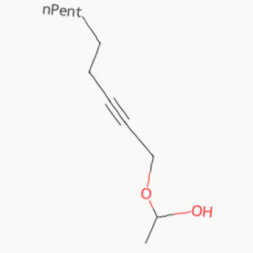 CCCCCCCC#CCOC(C)O